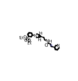 CCOP(=O)(OCC)c1cccc(N2C[C@@H]3C(CCNC(=O)/C=C/c4cccnc4)[C@@H]3C2)c1